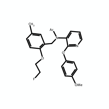 COc1ccc(Oc2ncccc2N(Cc2cc(C)ccc2OCCF)C(C)=O)cc1